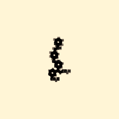 O=C(O)CC(c1cccc(C(=O)O)c1)c1ccnc(Oc2ccc(CNc3ccccn3)cc2)n1